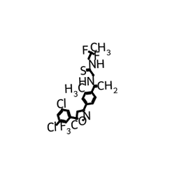 C=C(NCC(=S)NCC(C)(F)F)c1ccc(C2=NOC(c3cc(Cl)cc(Cl)c3)(C(F)(F)F)C2)cc1C